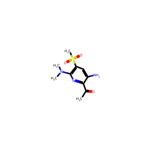 CC(=O)c1nc(N(C)C)c(S(C)(=O)=O)cc1N